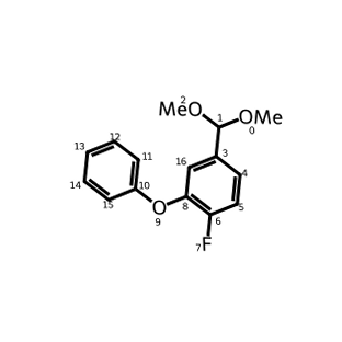 COC(OC)c1ccc(F)c(Oc2ccccc2)c1